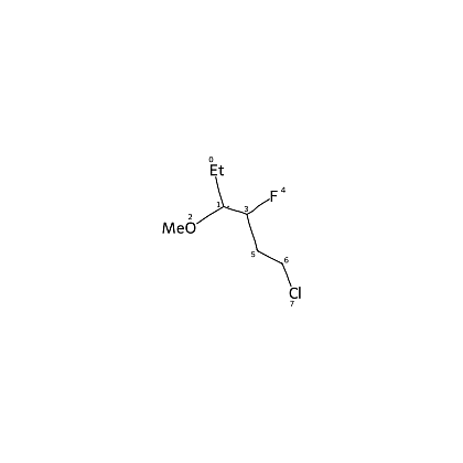 CC[C](OC)C(F)CCCl